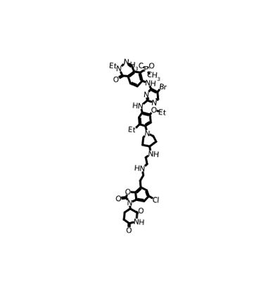 CCOc1cc(N2CCC(NCCNCCc3cc(Cl)cc4c3oc(=O)n4C3CCC(=O)NC3=O)CC2)c(CC)cc1Nc1ncc(Br)c(Nc2ccc3c(=O)n(CC)ncc3c2P(C)(C)=O)n1